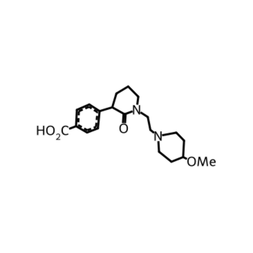 COC1CCN(CCN2CCCC(c3ccc(C(=O)O)cc3)C2=O)CC1